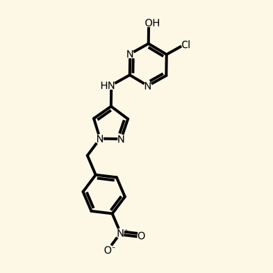 O=[N+]([O-])c1ccc(Cn2cc(Nc3ncc(Cl)c(O)n3)cn2)cc1